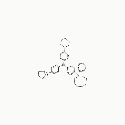 c1ccc(C2(c3ccc(N(c4ccc(C5CCCCC5)cc4)c4ccc(C5CC6CCC5C6)cc4)cc3)CCCCCCC2)cc1